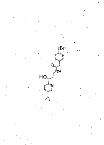 CC(C)(C)c1ccc(CC(=O)NCCC(O)c2ccc(C3CC3)cn2)cc1